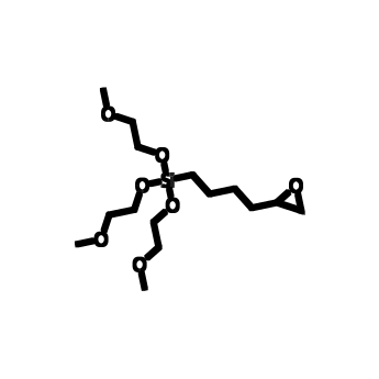 COCCO[Si](CCCCC1CO1)(OCCOC)OCCOC